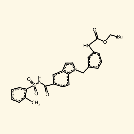 CCC(C)COC(=O)Nc1cccc(Cn2ccc3cc(C(=O)NS(=O)(=O)c4ccccc4C)ccc32)c1